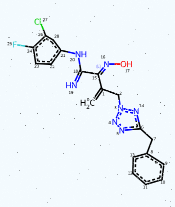 C=C(Cn1nnc(Cc2ccccc2)n1)/C(=N\O)C(=N)Nc1ccc(F)c(Cl)c1